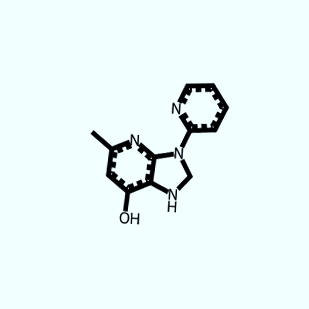 Cc1cc(O)c2c(n1)N(c1ccccn1)CN2